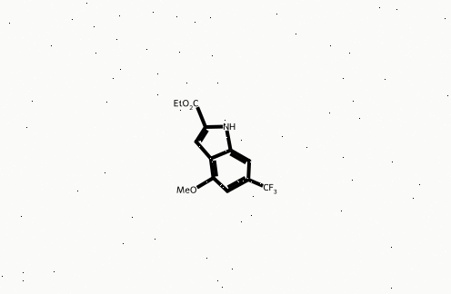 CCOC(=O)c1cc2c(OC)cc(C(F)(F)F)cc2[nH]1